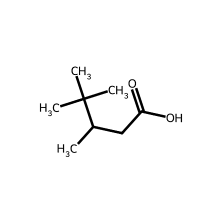 CC(CC(=O)O)C(C)(C)C